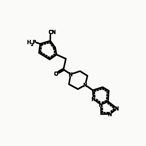 N#Cc1cc(CC(=O)N2CCN(c3ccc4nncn4n3)CC2)ccc1P